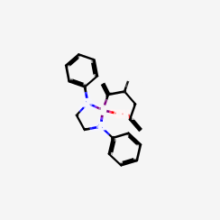 C=CCC(C(=C)[P]1(O)N(c2ccccc2)CCN1c1ccccc1)C(=O)OCC